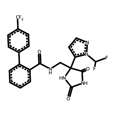 O=C1NC(=O)C(CNC(=O)c2ccccc2-c2ccc(C(F)(F)F)cc2)(c2ccnn2C(F)F)N1